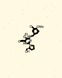 CCOC1=C(NCc2ccc(OC)c(Cl)c2)N=C(N2CCC[C@H]2CO)NC1=C=O